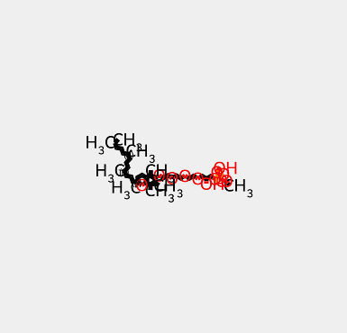 COOP(=O)(OO)OCC(O)COCCOCCOCCOc1c(C)c(C)c2c(c1C)CC[C@@](C)(CCC[C@H](C)CCC[C@H](C)CCCC(C)C)O2